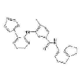 Cc1ccc(C(=O)Nc2cccc3c2CCC3)cc1Nc1ncccc1-c1ccncn1